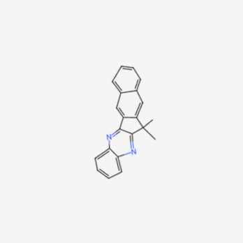 CC1(C)c2cc3ccccc3cc2-c2nc3ccccc3nc21